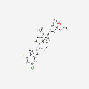 C=C1/C(=C\C=C2/CCCC3(C)C(C(C)C/C=C/C(O)(CC)CC)=CCC23)CC(Cl)CC1F